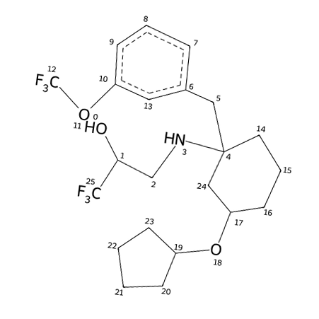 OC(CNC1(Cc2cccc(OC(F)(F)F)c2)CCCC(OC2CCCC2)C1)C(F)(F)F